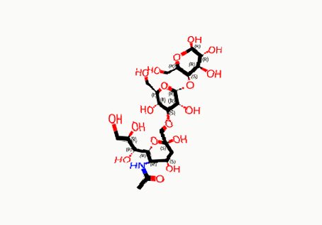 CC(=O)N[C@H]1[C@H]([C@H](O)[C@H](O)CO)O[C@](O)(CO[C@@H]2[C@@H](O)[C@@H](O[C@H]3[C@H](O)[C@@H](O)[C@H](O)O[C@@H]3CO)O[C@H](CO)[C@H]2O)C[C@@H]1O